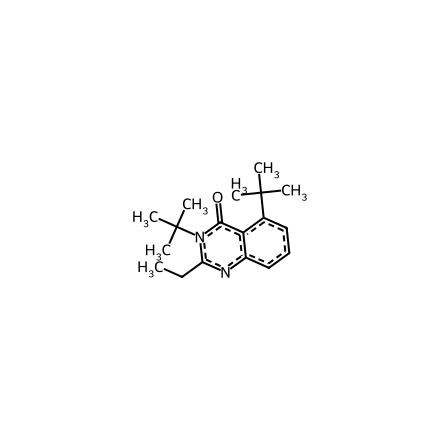 CCc1nc2cccc(C(C)(C)C)c2c(=O)n1C(C)(C)C